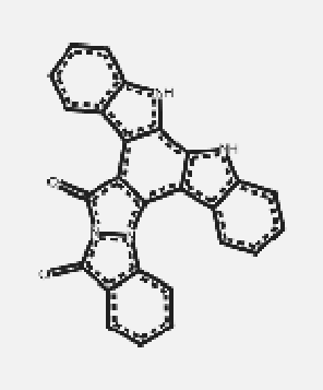 O=c1c2ccccc2n2c3c(c(=O)n12)c1c2ccccc2[nH]c1c1[nH]c2ccccc2c13